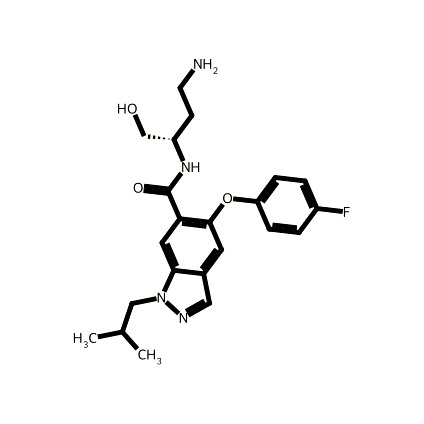 CC(C)Cn1ncc2cc(Oc3ccc(F)cc3)c(C(=O)N[C@H](CO)CCN)cc21